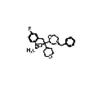 COc1ccc(F)cc1CC(O)(C1CCOCC1)C1CN(Cc2ccccc2)CCO1